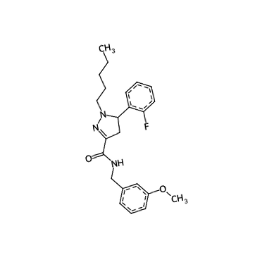 CCCCCN1N=C(C(=O)NCc2cccc(OC)c2)CC1c1ccccc1F